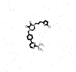 CN(C)c1nccc(-c2ccc(CN3CCN(CC=Cc4ccc(Cl)s4)C(=O)C3=O)cc2)n1